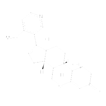 COc1ccncc1C1=CC[C@H]2[C@@H]3COC4=CC(=O)CC[C@]4(C)[C@H]3CC[C@]12C